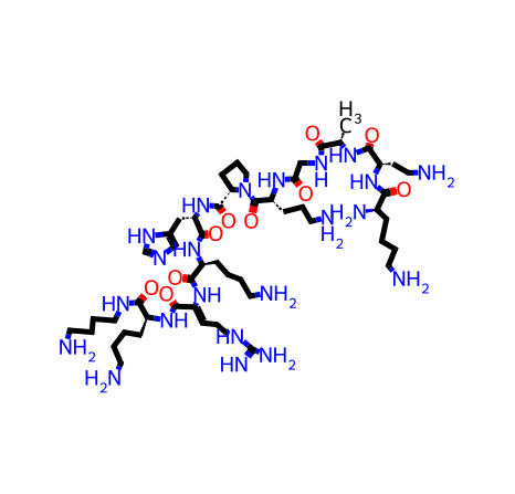 C[C@H](NC(=O)[C@H](CCN)NC(=O)[C@H](N)CCCCN)C(=O)NCC(=O)N[C@H](CCCN)C(=O)N1CCC[C@H]1C(=O)N[C@@H](Cc1cnc[nH]1)C(=O)N[C@@H](CCCCN)C(=O)N/C(=C\CCNC(=N)N)C(=O)N[C@@H](CCCCN)C(=O)NCCCCN